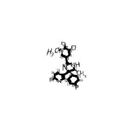 C[C@@H]1NC(c2cc(Cl)c(=O)n(C)c2)=N[C@@]1(c1ccc(F)cc1)c1ccc(F)nc1